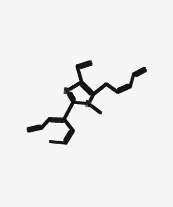 C=C/C=C\Cc1c(C=C)nc(C(/C=C\C)=C/C=C)n1C